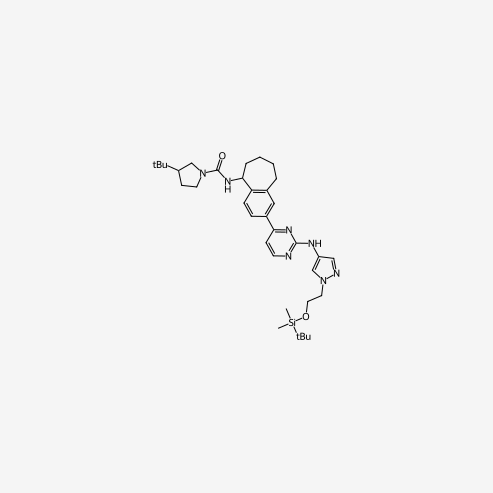 CC(C)(C)C1CCN(C(=O)NC2CCCCc3cc(-c4ccnc(Nc5cnn(CCO[Si](C)(C)C(C)(C)C)c5)n4)ccc32)C1